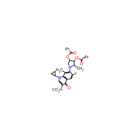 Cc1c(N2CC(OC(=O)C(C)C)C(OC(=O)C(C)C)C2C)c(F)cc2c(=O)c(C(=O)O)cn(C3CC3)c12